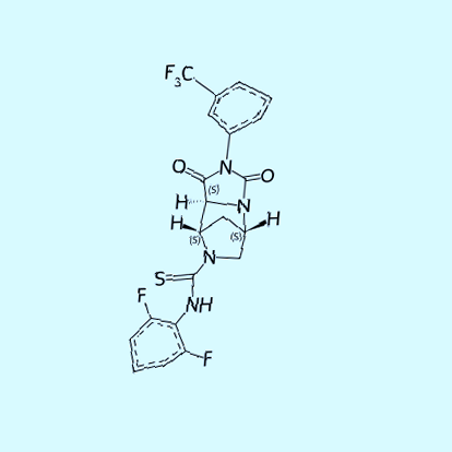 O=C1[C@@H]2[C@@H]3C[C@@H](CN3C(=S)Nc3c(F)cccc3F)N2C(=O)N1c1cccc(C(F)(F)F)c1